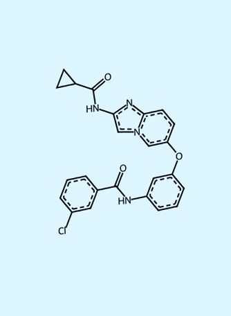 O=C(Nc1cccc(Oc2ccc3nc(NC(=O)C4CC4)cn3c2)c1)c1cccc(Cl)c1